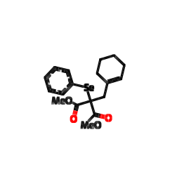 COC(=O)C(CC1=CCCCC1)([Se]c1ccccc1)C(=O)OC